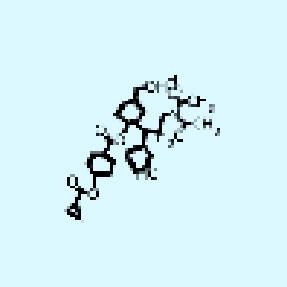 CC(C)N(CCC(c1ccccc1)c1cc(CO)ccc1OC(=O)c1ccc(OC(=O)C2CC2)cc1)C(C)C.Cl